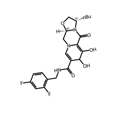 CCCC[C@H]1CO[C@@H]2CN3C=C(C(=O)NCc4ccc(F)cc4F)C(O)C(O)=C3C(=O)N12